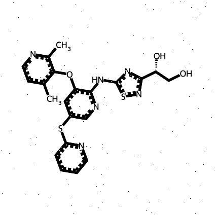 Cc1ccnc(C)c1Oc1cc(Sc2ccccn2)cnc1Nc1nc([C@H](O)CO)ns1